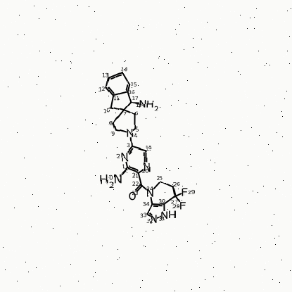 Nc1nc(N2CCC3(CC2)Cc2ccccc2[C@H]3N)cnc1C(=O)N1CCC(F)(F)c2[nH]ncc21